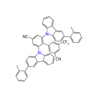 Cc1ccccc1-c1ccc2c(c1)c1ccccc1n2-c1cc(C#N)cc(-n2c3ccccc3c3cc(-c4ccccc4C)ccc32)c1-c1cc(C#N)cc(C(F)(F)F)c1